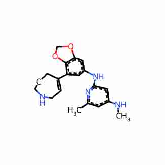 CNc1cc(C)nc(Nc2cc3c(c(C4=CCNCCC4)c2)OCO3)c1